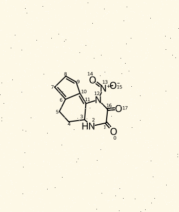 O=C1NC2CCC3=CC=CC3=C2N([N+](=O)[O-])C1=O